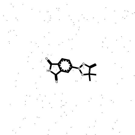 C=C1OB(c2ccc3c(c2)C(=O)NC3=O)OC1(C)C